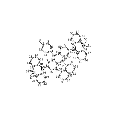 Cc1ccc(-c2c3cc(N4c5ccccc5[Si](C)(C)c5ccccc54)ccc3c(-c3cccc4ccccc34)c3cc(N4c5ccccc5[Si](C)(C)c5ccccc54)ccc23)cc1